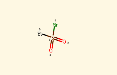 [CH2]CS(=O)(=O)Br